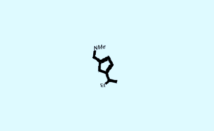 C=C(CC)C1=CC=C(CNC)C1